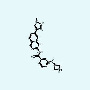 Cn1cc(-c2ccc3cnc(NC(=O)c4ccnc(OC5CNC5)c4)cc3c2)nn1